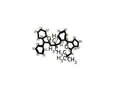 CC(C)(C)CC1OC(c2ccccc2CC(C)(C)CC2OC3CCCCC3C2c2ccccc2)C2CCCC12